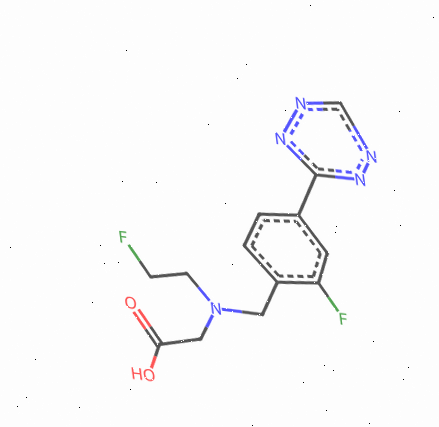 O=C(O)CN(CCF)Cc1ccc(-c2nncnn2)cc1F